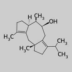 CC1=C2C[C@@]3(C)CCC(C(C)C)=C3C[C@H](O)[C@H](C)[C@@H]2CC1